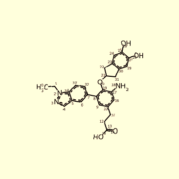 CCn1ncc2cc(-c3cc(CCC(=O)O)cc(N)c3OC3Cc4cc(O)c(O)cc4C3)ccc21